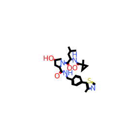 Cc1ncsc1-c1ccc(CNC(=O)C2CC(O)CN2C(=O)C(CC(C)C)NC(=O)C2(C)CC2)cc1